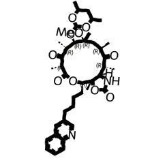 CO[C@]1(C)C[C@@H](C)C(=O)[C@H](C)[C@H]2NC(=O)O[C@]2(C)[C@@H](CCCCc2cnc3ccccc3c2)OC(=O)[C@H](C)C(=O)[C@H](C)[C@H]1OC1OC(C)CC(C)O1